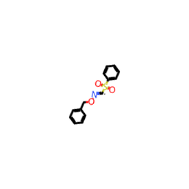 O=S(=O)(/[C]=N/OCc1ccccc1)c1ccccc1